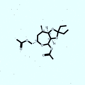 CCC1(CC)O[C@@H]2[C@H](C)C[C@@H](COC(C)=O)OC(OC(C)=O)[C@@H]2O1